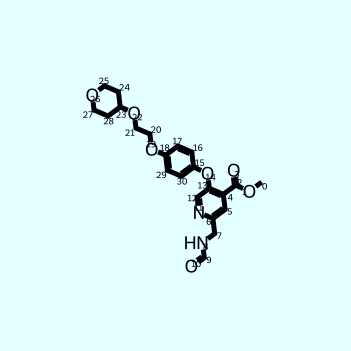 COC(=O)c1cc(CNC=O)ncc1Oc1ccc(OCCOC2CCOCC2)cc1